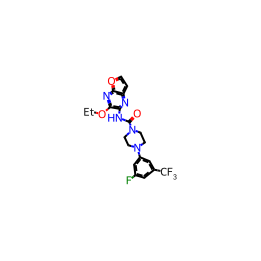 CCOc1nc2occc2nc1NC(=O)N1CCN(c2cc(F)cc(C(F)(F)F)c2)CC1